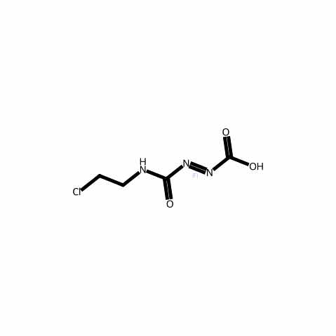 O=C(O)/N=N/C(=O)NCCCl